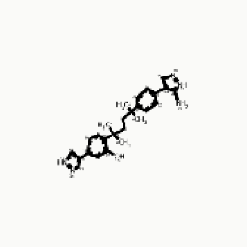 CC(C)(CCC(C)(C)c1ccc(-c2cn[nH]c2)cc1O)c1ccc(-c2cn[nH]c2N)cc1